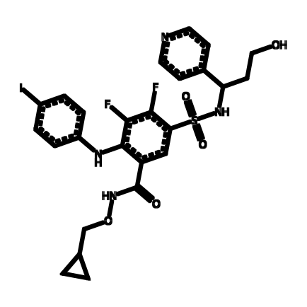 O=C(NOCC1CC1)c1cc(S(=O)(=O)NC(CCO)c2ccncc2)c(F)c(F)c1Nc1ccc(I)cc1